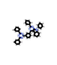 c1ccc(-c2nc(-c3ccccc3)nc(-c3cccc(-c4nc(-c5ccccc5)nc5c4c4ccccc4n5-c4ccccc4)c3)n2)cc1